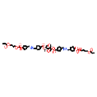 C=CC(=O)OCCCCOC(=O)Oc1ccc(/C=N/N=C/c2ccc(C(=O)O[C@H]3CO[C@H]4[C@@H]3OC[C@H]4OC(=O)c3ccc(/C=N/N=C/c4ccc(OC(=O)OCCCCOC(=O)C=C)cc4)cc3)cc2)cc1